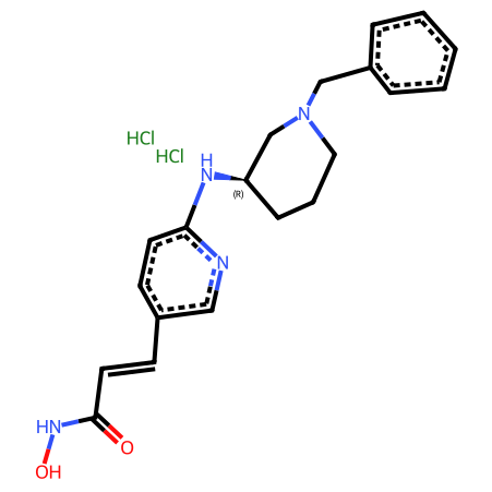 Cl.Cl.O=C(C=Cc1ccc(N[C@@H]2CCCN(Cc3ccccc3)C2)nc1)NO